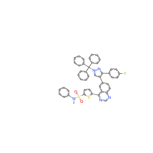 CN(c1ccccc1)S(=O)(=O)c1ccc(-c2ncnc3ccc(-c4cn(C(c5ccccc5)(c5ccccc5)c5ccccc5)nc4-c4ccc(F)cc4)cc23)s1